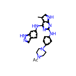 CC(=O)N1CCN(c2ccc(Nc3nc(Nc4ccc5cn[nH]c5c4)c4c(C)c[nH]c4n3)cc2)CC1